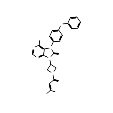 CCC(=CC(=O)N1CC(n2c(=O)n(-c3ccc(Oc4ccccc4)cc3)c3c(N)ncnc32)C1)C(=O)O